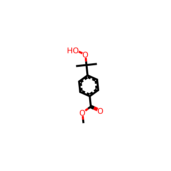 COC(=O)c1ccc(C(C)(C)OO)cc1